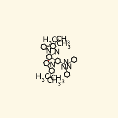 CC(C)(C)c1ccc2c(c1)c1ccccc1n2-c1cc(-c2nc(-c3ccccc3)nc(-c3ccccc3)n2)ccc1-c1cccc(-n2c3ccccc3c3cc(C(C)(C)C)ccc32)c1C#N